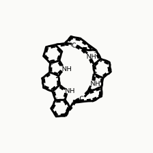 c1cc2c3cc1c1ccc4c(c1)[nH]c1c4ccc4c5ccc(cc5[nH]c41)c1ccc4c(c1)[nH]c1c4ccc2c1[nH]3